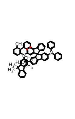 CC1CC=CC(N(c2ccc3c(c2)C(C)(C)c2ccccc2-3)c2ccc3c(c2)C2(c4ccccc4-3)c3cc(N(c4ccccc4)c4ccccc4)ccc3-c3ccc(C(C)(C)C)cc32)=C1c1ccccc1